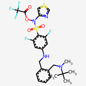 CN(Cc1ccccc1CNc1cc(F)c(S(=O)(=O)N(OC(=O)C(F)(F)F)c2cscn2)c(F)c1)C(C)(C)C